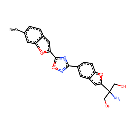 COc1ccc2cc(-c3nc(-c4ccc5oc(C(N)(CO)CO)cc5c4)no3)oc2c1